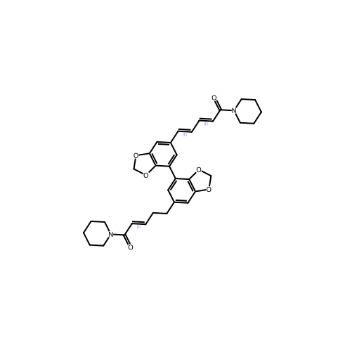 O=C(/C=C/C=C/c1cc2c(c(-c3cc(CC/C=C/C(=O)N4CCCCC4)cc4c3OCO4)c1)OCO2)N1CCCCC1